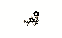 CS(=O)(=O)c1cc(C(=O)O)cc(Cl)c1Nc1ccccc1